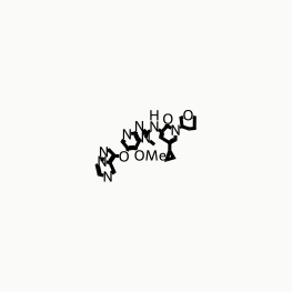 COc1c(Oc2cnn3ccncc23)cnc2nc(Nc3cc(C4CC4)cn([C@@H]4CCCOC4)c3=O)n(C)c12